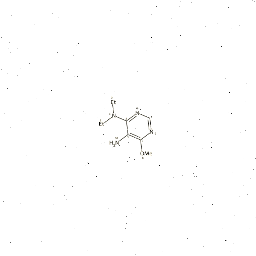 CCN(CC)c1ncnc(OC)c1N